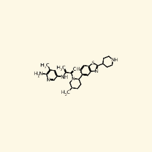 C=C(Nc1cnc(N)c(C)c1)C(=C)N1CC(C)CCC1c1ccc2sc(C3CCNCC3)nc2c1